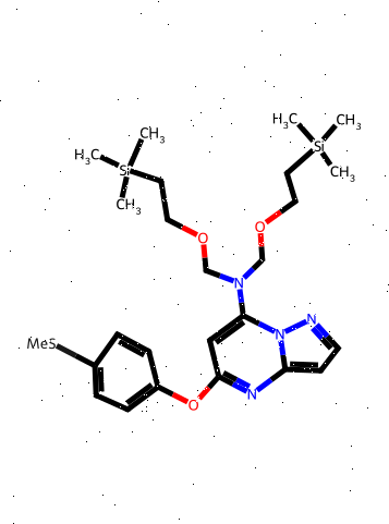 CSc1ccc(Oc2cc(N(COCC[Si](C)(C)C)COCC[Si](C)(C)C)n3nccc3n2)cc1